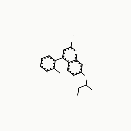 CCC(C)Oc1ccc2c(-c3ccccc3C)cc(Cl)nc2c1